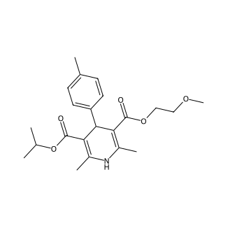 COCCOC(=O)C1=C(C)NC(C)=C(C(=O)OC(C)C)C1c1ccc(C)cc1